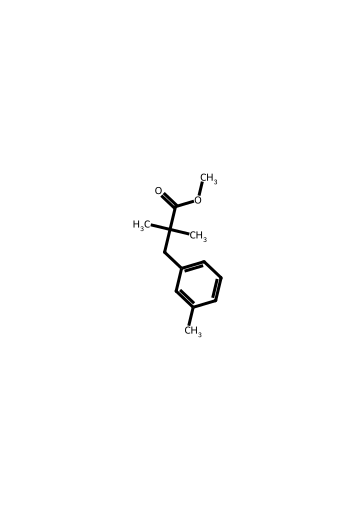 COC(=O)C(C)(C)Cc1cccc(C)c1